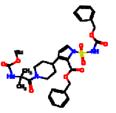 CC(C)(C)OC(=O)NC(C)(C)C(=O)N1CCC(c2ccn(S(=O)(=O)NC(=O)OCc3ccccc3)c2C(=O)OCc2ccccc2)CC1